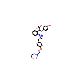 COc1ccc2c(c1)OC(C)(C)C(c1ccccc1NC(C)Cc1ccc(OCCN3CCCCCC3)cc1)C2